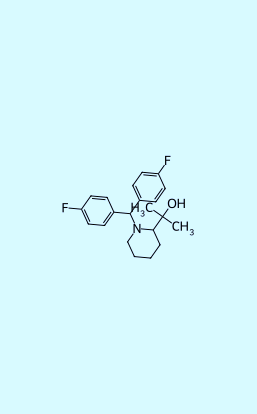 CC(C)(O)C1CCCCN1C(c1ccc(F)cc1)c1ccc(F)cc1